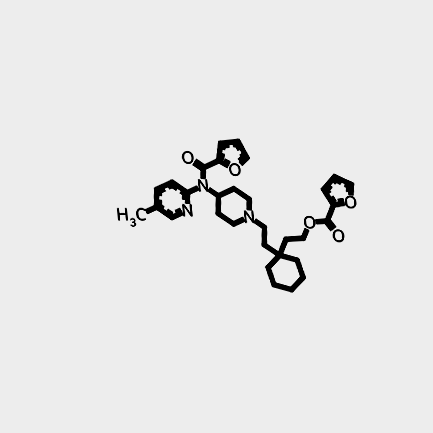 Cc1ccc(N(C(=O)c2ccco2)C2CCN(CCC3(CCOC(=O)c4ccco4)CCCCC3)CC2)nc1